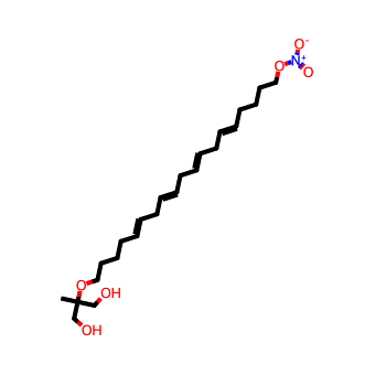 CC(CO)(CO)OCCCCC=CCC=CCC=CCC=CCCCCO[N+](=O)[O-]